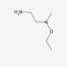 CCON(C)CCN